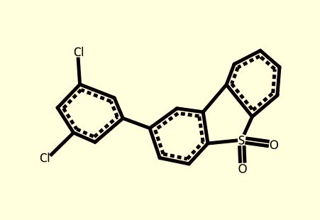 O=S1(=O)c2ccccc2-c2cc(-c3cc(Cl)cc(Cl)c3)ccc21